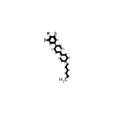 C=CCCCC[C@H]1CC[C@H]([C@H]2CC[C@H](c3cc(F)c(F)c(F)c3)CC2)CC1